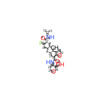 Cc1c(Cc2ccc(C(=O)NC3CC3)c(F)c2)cc(C(=O)N[C@H]2CCOC[C@@H]2O)c2c1CCO2